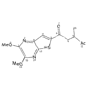 COc1nc2cc(C(=O)CC(C)C(C)=O)sc2nc1OC